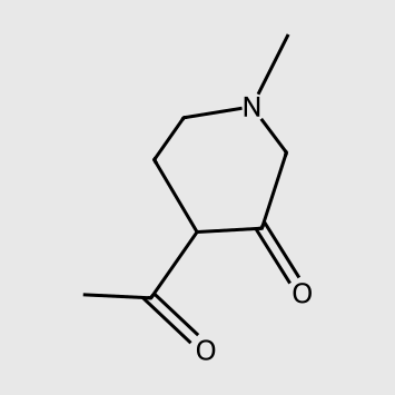 CC(=O)C1CCN(C)CC1=O